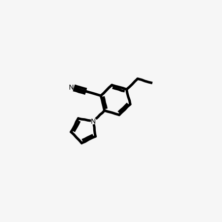 CCc1ccc(-n2cccc2)c(C#N)c1